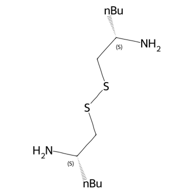 CCCC[C@H](N)CSSC[C@@H](N)CCCC